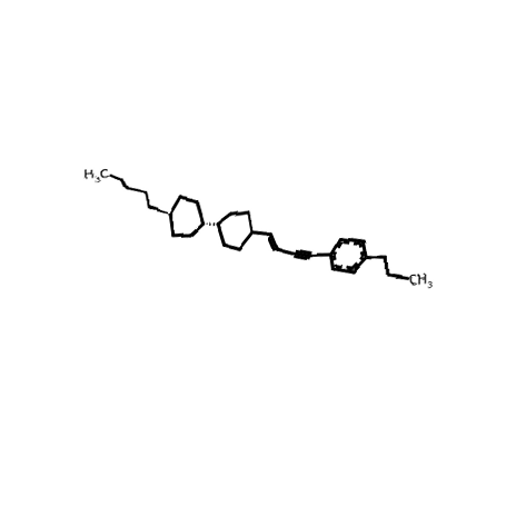 CCCCC[C@H]1CC[C@H](C2CCC(/C=C/C#Cc3ccc(CCC)cc3)CC2)CC1